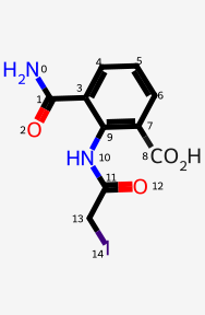 NC(=O)c1cccc(C(=O)O)c1NC(=O)CI